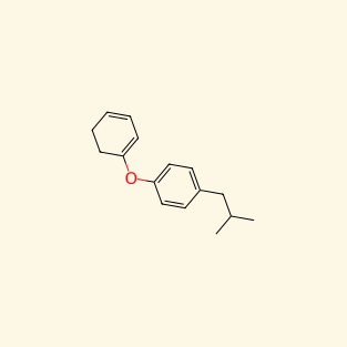 CC(C)Cc1ccc(OC2=CC=CCC2)cc1